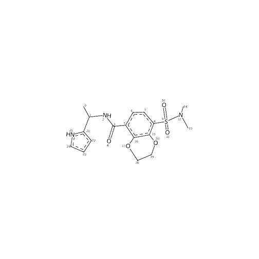 CC(NC(=O)c1ccc(S(=O)(=O)N(C)C)c2c1OCCO2)c1ccc[nH]1